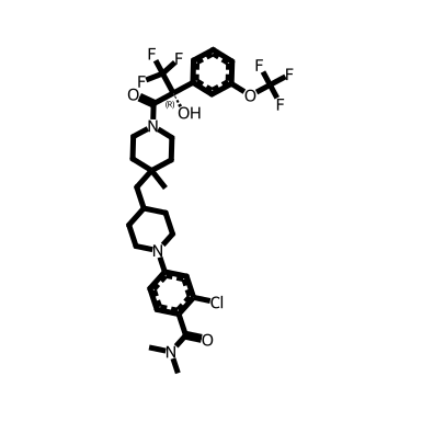 CN(C)C(=O)c1ccc(N2CCC(CC3(C)CCN(C(=O)[C@](O)(c4cccc(OC(F)(F)F)c4)C(F)(F)F)CC3)CC2)cc1Cl